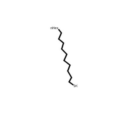 CCCCCCCCCCCCCCC[CH2][Sn]